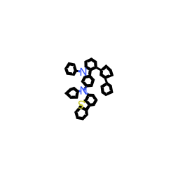 c1ccc(-c2cccc(-c3cccc4c3c3ccc(N(c5ccccc5)c5cccc6c5sc5ccccc56)cc3n4-c3ccccc3)c2)cc1